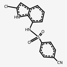 N#Cc1ccc(S(=O)(=O)Nc2cccc3cc(Cl)[nH]c23)cc1